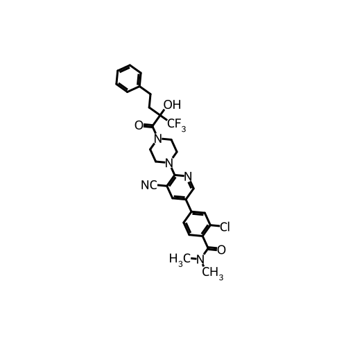 CN(C)C(=O)c1ccc(-c2cnc(N3CCN(C(=O)C(O)(CCc4ccccc4)C(F)(F)F)CC3)c(C#N)c2)cc1Cl